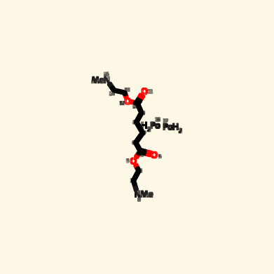 CNCCOC(=O)CCCCC(=O)OCCNC.[PoH2].[PoH2]